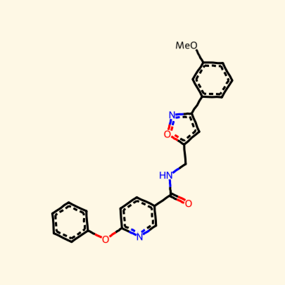 COc1cccc(-c2cc(CNC(=O)c3ccc(Oc4ccccc4)nc3)on2)c1